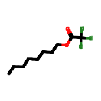 CCCCCCCCOC(=O)C(Cl)(Cl)Cl